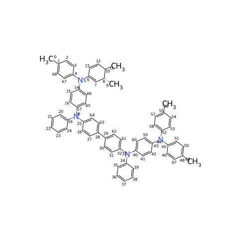 Cc1ccc(N(C2=C[C@@H](C)C(C)C=C2)c2ccc(N(c3ccccc3)c3ccc(-c4ccc(N(c5ccccc5)c5ccc(N(c6ccc(C)cc6)c6ccc(C)cc6)cc5)cc4)cc3)cc2)cc1